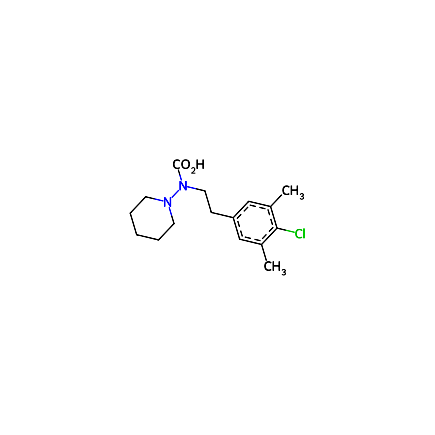 Cc1cc(CCN(C(=O)O)N2CCCCC2)cc(C)c1Cl